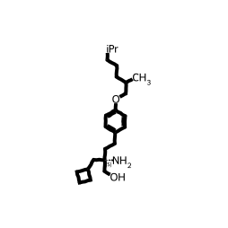 CC(C)CCCC(C)COc1ccc(CC[C@@](N)(CO)CC2CCC2)cc1